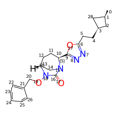 C[C@H]1C[C@@H](CCc2nnc([C@@H]3CC[C@@H]4CN3C(=O)N4OCc3ccccc3)o2)C1